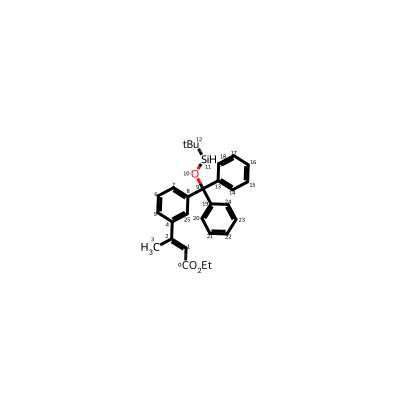 CCOC(=O)C=C(C)c1cccc(C(O[SiH2]C(C)(C)C)(c2ccccc2)c2ccccc2)c1